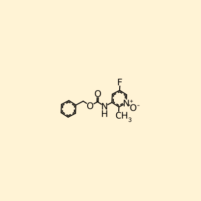 Cc1c(NC(=O)OCc2ccccc2)cc(F)c[n+]1[O-]